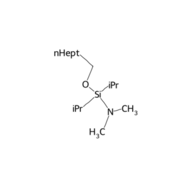 CCCCCCCCO[Si](C(C)C)(C(C)C)N(C)C